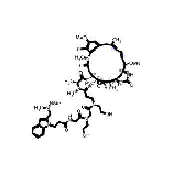 CNN(C)Cc1cc2ccccc2n1CCC(=O)NCC(=O)N(CCO)CC(=O)N(CCO)CCC(=O)N(C)[C@@H](C)C(=O)O[C@H]1CC(=O)N(C)c2cc(cc(OC)c2Cl)C/C(C)=C/C=C/[C@@H](OC)[C@@]2(O)C[C@H](OC(=O)N2)[C@@H](C)[C@@H]2O[C@@]12C